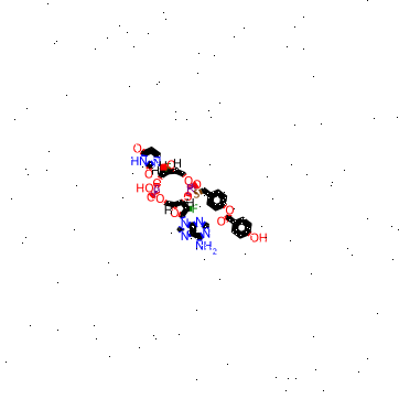 Nc1ncnc2c1ncn2C1O[C@@H]2COP(=O)(O)O[C@@H]3[C@H](F)[C@@H](CO[P@@](=O)(SCc4ccc(OC(=O)c5ccc(O)cc5)cc4)O[C@H]2C1F)O[C@H]3n1ccc(=O)[nH]c1=O